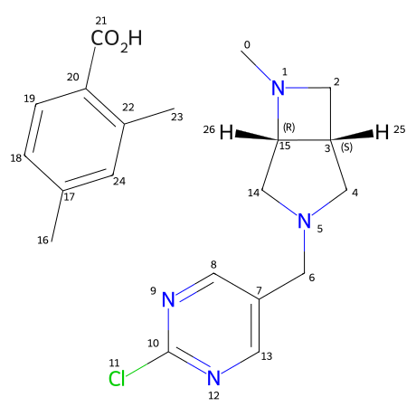 CN1C[C@@H]2CN(Cc3cnc(Cl)nc3)C[C@@H]21.Cc1ccc(C(=O)O)c(C)c1